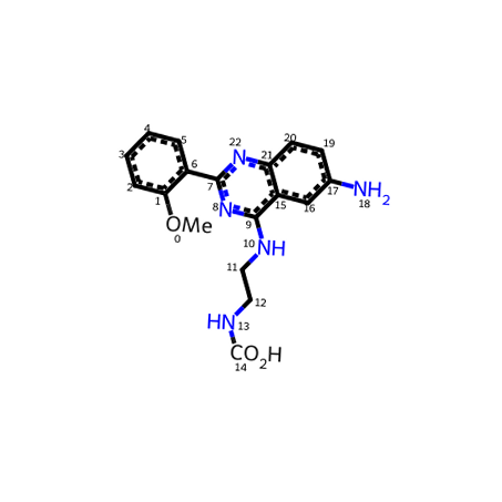 COc1ccccc1-c1nc(NCCNC(=O)O)c2cc(N)ccc2n1